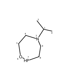 CC(C)N1CCOPCC1